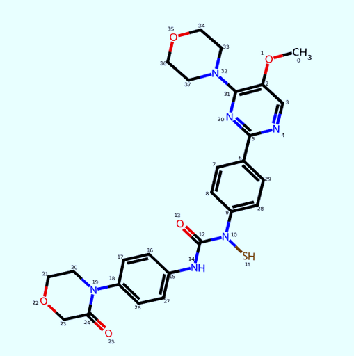 COc1cnc(-c2ccc(N(S)C(=O)Nc3ccc(N4CCOCC4=O)cc3)cc2)nc1N1CCOCC1